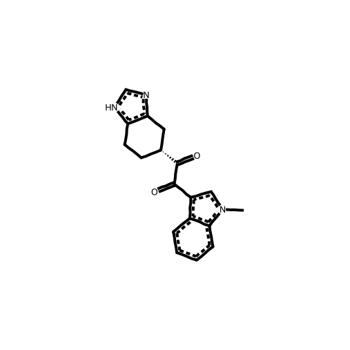 Cn1cc(C(=O)C(=O)[C@@H]2CCc3[nH]cnc3C2)c2ccccc21